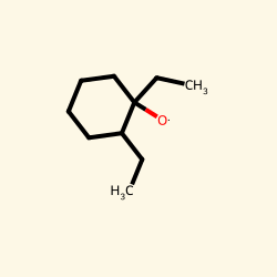 CCC1CCCCC1([O])CC